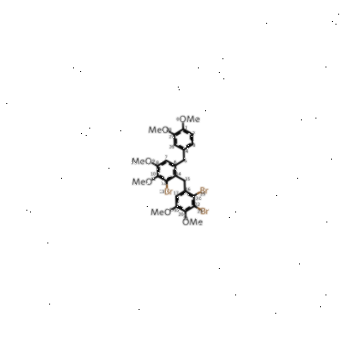 COc1ccc(Cc2cc(OC)c(OC)c(Br)c2Cc2cc(OC)c(OC)c(Br)c2Br)cc1OC